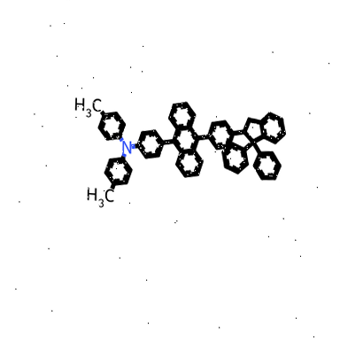 Cc1ccc(N(c2ccc(C)cc2)c2ccc(-c3c4ccccc4c(-c4ccc(C5Cc6ccccc6C5(c5ccccc5)c5ccccc5)cc4)c4ccccc34)cc2)cc1